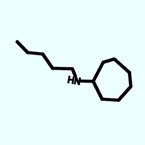 CCCCCNC1CCCCCC1